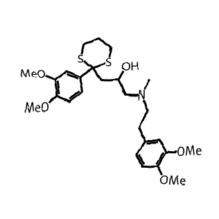 COc1ccc(CCN(C)CC(O)CC2(c3ccc(OC)c(OC)c3)SCCCS2)cc1OC